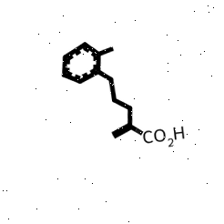 C=C(CCCc1ccccc1C)C(=O)O